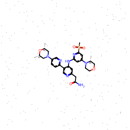 C[C@@H]1CN(c2ccc(-c3cnc(CC(N)=O)cc3Nc3cc(N4CCOC[C@H]4C)cc(S(C)(=O)=O)n3)nc2)C[C@H](C)O1